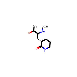 O=C(O)NC(C[C@@H]1CCCNC1=O)C(O)C(F)(F)F